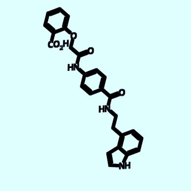 O=C(COc1ccccc1C(=O)O)Nc1ccc(C(=O)NCCc2cccc3[nH]ccc23)cc1